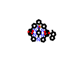 Cc1ccc2ccccc2c1-c1ccc2c(c1)c1ccc3c4ccccc4sc3c1n2-c1c(C#N)c(-n2c3ccccc3c3ccccc32)c(-n2c3ccccc3c3ccccc32)c(C#N)c1-n1c2ccccc2c2ccccc21